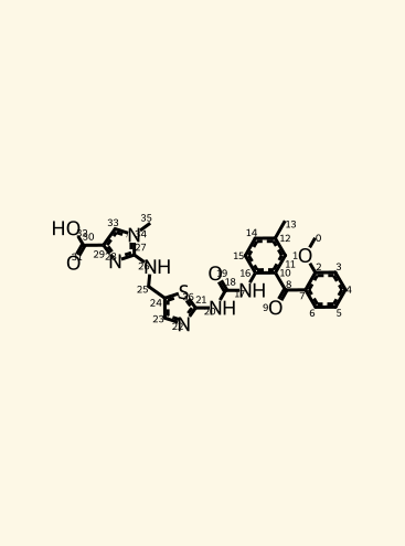 COc1ccccc1C(=O)c1cc(C)ccc1NC(=O)Nc1ncc(CNc2nc(C(=O)O)cn2C)s1